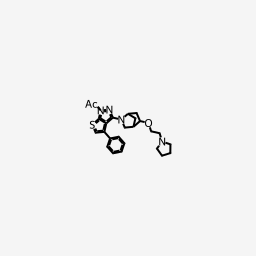 CC(=O)n1nc(N2CC3CC2CC3OCCN2CCCC2)c2c(-c3ccccc3)csc21